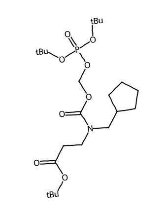 CC(C)(C)OC(=O)CCN(CC1CCCC1)C(=O)OCOP(=O)(OC(C)(C)C)OC(C)(C)C